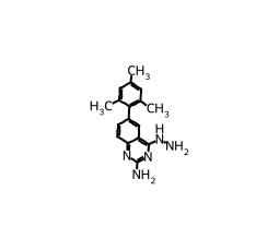 Cc1cc(C)c(-c2ccc3nc(N)nc(NN)c3c2)c(C)c1